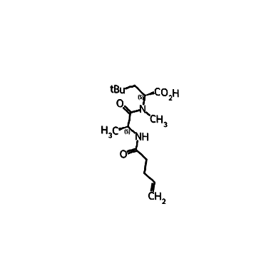 C=CCCC(=O)N[C@@H](C)C(=O)N(C)[C@@H](CC(C)(C)C)C(=O)O